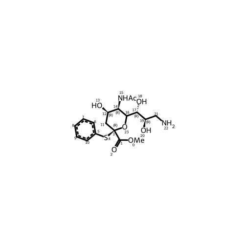 COC(=O)[C@]1(Sc2ccccc2)C[C@@H](O)[C@@H](NC(C)=O)C([C@H](O)[C@H](O)CN)O1